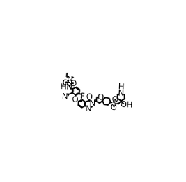 CCN(C)S(=O)(=O)Nc1ccc(F)c(Oc2ccc3ncn([C@H]4COC5(CCC(S(=O)(=O)CC6(O)CCNCC6)CC5)C4)c(=O)c3c2)c1C#N